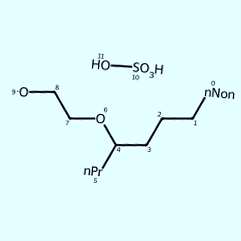 CCCCCCCCCCCCC(CCC)OCC[O].O=S(=O)(O)O